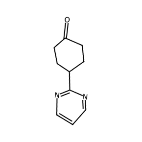 O=C1CCC(c2ncccn2)CC1